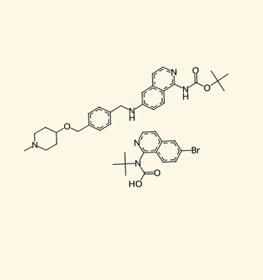 CC(C)(C)N(C(=O)O)c1nccc2cc(Br)ccc12.CN1CCC(OCc2ccc(CNc3ccc4c(NC(=O)OC(C)(C)C)nccc4c3)cc2)CC1